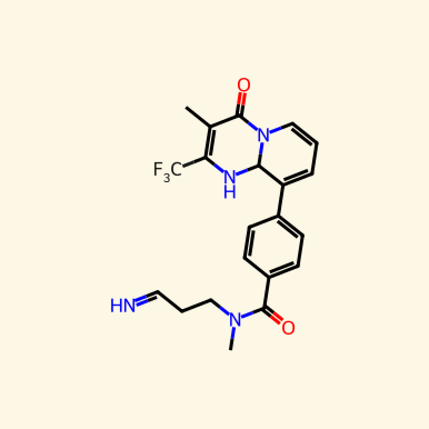 CC1=C(C(F)(F)F)NC2C(c3ccc(C(=O)N(C)CCC=N)cc3)=CC=CN2C1=O